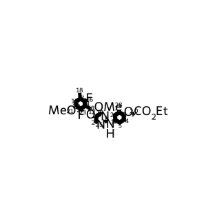 CCOC(=O)COc1ccc(Nc2ncc(OCc3c(F)c(C)cc(OC)c3F)cn2)cc1OC